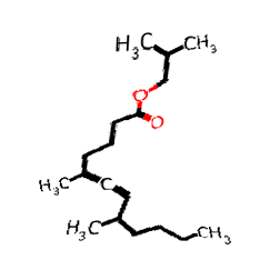 CCCCC(C)C=C=C(C)CCCC(=O)OCC(C)C